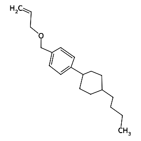 C=CCOCc1ccc(C2CCC(CCCC)CC2)cc1